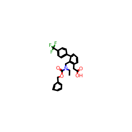 CCN(Cc1c(CC(=O)O)cccc1-c1ccc(C(F)(F)F)cc1)C(=O)OCc1ccccc1